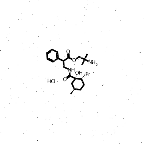 CC(C)[C@@H]1CC[C@@H](C)C[C@@]1(O)C(=O)NCC(C(=O)OCC(C)(C)N)c1ccccc1.Cl